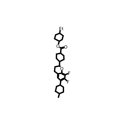 CCC1CCC(OC(=O)C2CCC(C3CCc4cc(C5CCC(C)CC5)c(F)c(F)c4O3)CC2)CC1